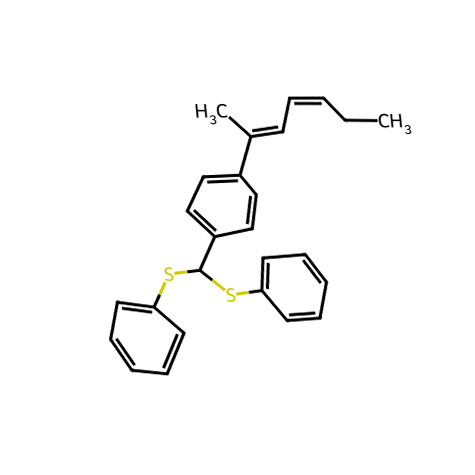 CC/C=C\C=C(/C)c1ccc(C(Sc2ccccc2)Sc2ccccc2)cc1